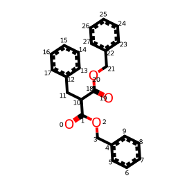 O=C(OCc1ccccc1)C(Cc1ccccc1)C(=O)OCc1ccccc1